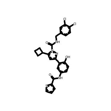 O=C(Nc1ccc(O)c(-c2cc(C3CCC3)n(C(=O)NCc3ccc(Cl)c(Cl)c3)n2)c1)c1cccs1